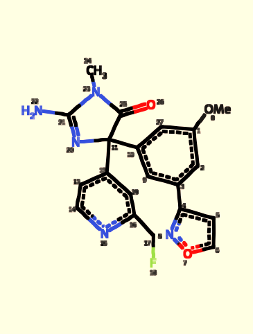 COc1cc(-c2ccon2)cc(C2(c3ccnc(CF)c3)N=C(N)N(C)C2=O)c1